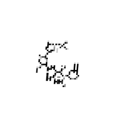 Nc1ncc(-c2cc(-c3cnn(CC(F)(F)F)c3)ncc2F)nc1C(=O)NC1CCCNC1